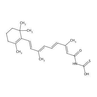 CC(C=CC1=C(C)CCCC1(C)C)=CC=CC(C)=CC(=O)NC(O)=S